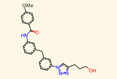 COc1ccc(C(=O)Nc2cccc(Cc3cccc(-n4cc(CCCO)nn4)c3)c2)cc1